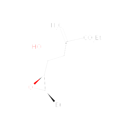 C=C(C[C@@H](O)[C@@H]1O[C@@H]1CC)C(=O)OCC